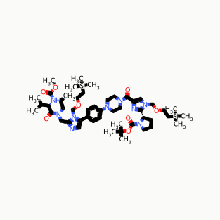 CCCN(Cc1ncc(-c2ccc(N3CCN(C(=O)c4cn(COCC[Si](C)(C)C)c([C@@H]5CCCN5C(=O)OC(C)(C)C)n4)CC3)cc2)n1COCC[Si](C)(C)C)C(=O)[C@@H](NC(=O)OC)C(C)C